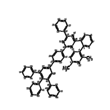 Cc1ccc(-c2ccccc2-c2nc(-c3ccccc3)nc(-c3ccc(-c4cc(-c5ccccc5)c(-c5ccccc5)c(-c5ccccc5)c4)cc3)n2)c(C)n1